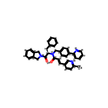 O=C([C@H](Cc1ccccc1)N(Cc1ccc(-c2ccccn2)cc1)C(=O)C=Cc1ccc(C(F)(F)F)nc1)N1Cc2ccccc2C1